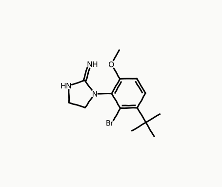 COc1ccc(C(C)(C)C)c(Br)c1N1CCNC1=N